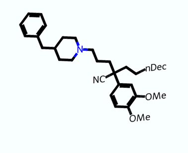 CCCCCCCCCCCCC(C#N)(CCCN1CCC(Cc2ccccc2)CC1)c1ccc(OC)c(OC)c1